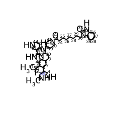 CN/C=C(\C=N)C1=CC2CCCN(C(=N)C3=C(NC4CCN(C(=O)CCCCCCCN5C(=O)NC6CC=CC=C65)CC4)CCNC3)C2C=C1C(C)F